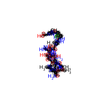 CCn1nc(C)cc1C(=O)Nc1nc2cc(C(N)=O)cc(OCCCNC(=O)[C@H](CC(=O)O)NC(=O)[C@H](CC(=O)O)NC(=O)[C@H](CCCNC(=N)N)NC(=O)[C@H](CC(=O)O)NC(=O)CCCN3CCc4[nH]c(C(=O)Nc5cccc(-c6cccc(NC(=O)c7nc8c(n7C)CCN(CCCC(=O)O)C8)c6Cl)c5Cl)nc4C3C)c2n1C/C=C/Cn1c2nc(-c3cc(C)nn3CC)ncc2c2cc(C(N)=O)cc(OCCCOC)c21